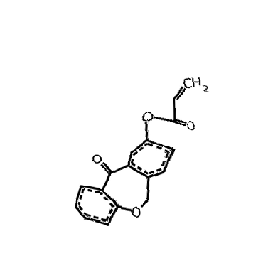 C=CC(=O)Oc1ccc2c(c1)C(=O)c1ccccc1OC2